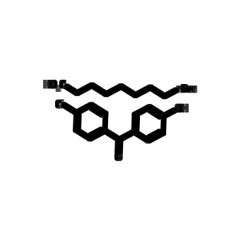 CCCCCCCCCCCCCCCCCC(=O)O.O=C(c1ccc(O)cc1)c1ccc(Cl)cc1